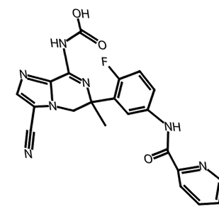 CC1(c2cc(NC(=O)c3ccc(Cl)cn3)ccc2F)Cn2c(C#N)cnc2C(NC(=O)O)=N1